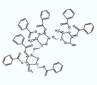 C[C@H]1[C@H](OC(=O)c2ccccc2)[C@@H](OC(=O)c2ccccc2)[C@H](OC[C@H]2O[C@@H](OC[C@H]3OC(O)[C@H](OC(=O)c4ccccc4)[C@@H](OC(=O)c4ccccc4)[C@@H]3C)[C@H](OC(=O)c3ccccc3)[C@@H](OC(=O)c3ccccc3)[C@@H]2C)O[C@@H]1COC(=O)c1ccccc1